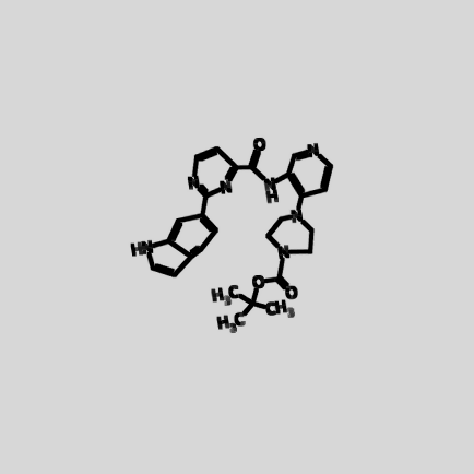 CC(C)(C)OC(=O)N1CCN(c2ccncc2NC(=O)c2ccnc(-c3ccc4cc[nH]c4c3)n2)CC1